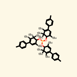 Cc1ccc(C2=C(C(C)(C)C)C(C(C)(C)C)(C(C)(C)C)C(OP(OC3C(C(C)(C)C)=CC(c4ccc(C)cc4)=C(C(C)(C)C)C3(C(C)(C)C)C(C)(C)C)OC3C(C(C)(C)C)=CC(c4ccc(C)cc4)=C(C(C)(C)C)C3(C(C)(C)C)C(C)(C)C)C(C(C)(C)C)=C2)cc1